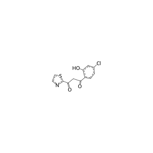 O=C(CC(=O)c1ccc(Cl)cc1O)c1nccs1